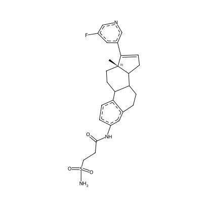 C[C@]12CCC3c4ccc(NC(=O)CCS(N)(=O)=O)cc4CCC3C1CC=C2c1cncc(F)c1